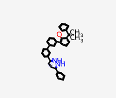 CC1(C)c2ccccc2Oc2c(-c3cccc(-c4cccc(C(=N)/C=C\C(=N)c5ccccc5)c4)c3)cccc21